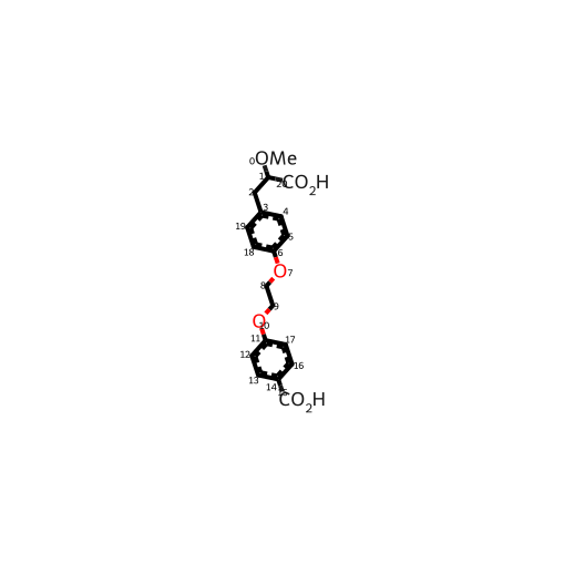 COC(Cc1ccc(OCCOc2ccc(C(=O)O)cc2)cc1)C(=O)O